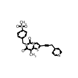 Cc1c(=O)n(Cc2ccc(S(C)(=O)=O)cc2)c(=O)n2cc(C#CCc3ccncc3)sc12